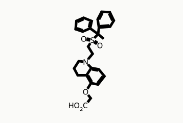 CC(c1ccccc1)(c1ccccc1)S(=O)(=O)CCN1CCCc2c(OCC(=O)O)cccc21